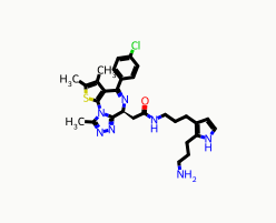 Cc1sc2c(c1C)C(c1ccc(Cl)cc1)=N[C@@H](CC(=O)NCCCc1cc[nH]c1CCCN)c1nnc(C)n1-2